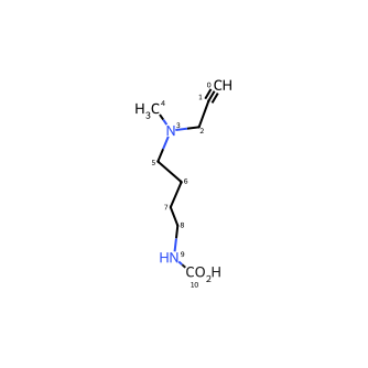 C#CCN(C)CCCCNC(=O)O